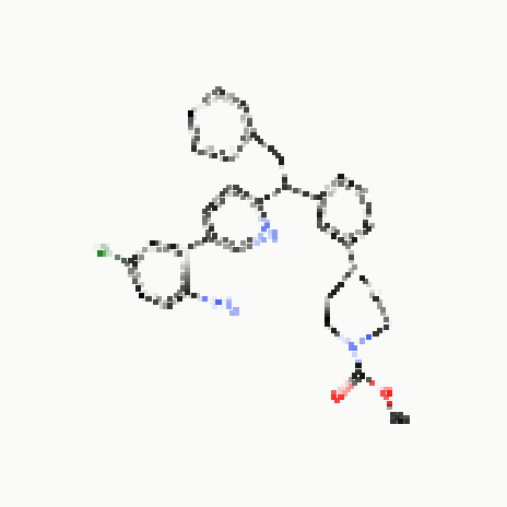 CC(C)(C)OC(=O)N1CCC(c2cccc(C(Cc3ccccc3)c3ccc(-c4cc(Cl)ccc4N)cn3)c2)CC1